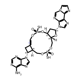 Nc1ncnc2c1ncn2[C@@H]1C/C2=C/OP(=O)(S)O[C@H]3C[C@H](n4cnc5c4ncn4ccnc54)O[C@@H]3COP(=O)(S)OC[C@H]21